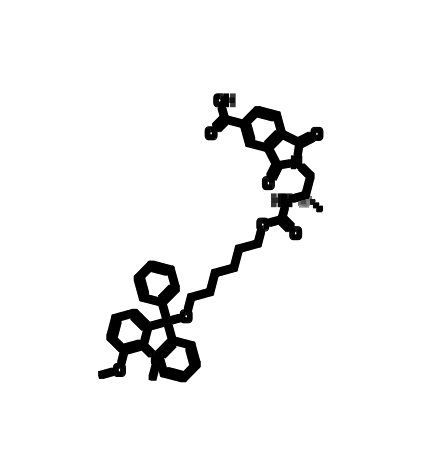 COc1cccc(C(OCCCCCCOC(=O)N[C@@H](C)CN2C(=O)c3ccc(C(=O)O)cc3C2=O)(c2ccccc2)c2ccccc2)c1OC